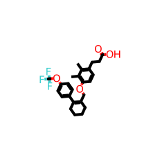 Cc1c(CCC(=O)O)ccc(OCC2=C(c3ccc(OC(F)(F)F)cc3)CCCC2)c1C